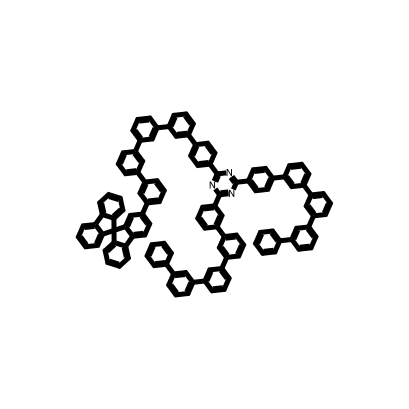 c1ccc(-c2cccc(-c3cccc(-c4cccc(-c5ccc(-c6nc(-c7ccc(-c8cccc(-c9cccc(-c%10cccc(-c%11cccc(-c%12ccc%13c(c%12)C%12(c%14ccccc%14-c%14ccccc%14%12)c%12ccccc%12-%13)c%11)c%10)c9)c8)cc7)nc(-c7cccc(-c8cccc(-c9cccc(-c%10cccc(-c%11ccccc%11)c%10)c9)c8)c7)n6)cc5)c4)c3)c2)cc1